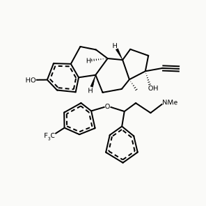 C#C[C@]1(O)CC[C@H]2[C@@H]3CCc4cc(O)ccc4[C@H]3CC[C@@]21C.CNCCC(Oc1ccc(C(F)(F)F)cc1)c1ccccc1